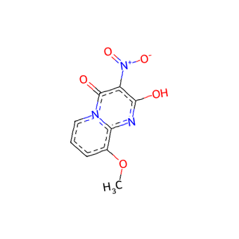 COc1cccn2c(=O)c([N+](=O)[O-])c(O)nc12